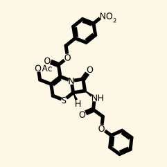 CC(=O)OCC1=C(C(=O)OCc2ccc([N+](=O)[O-])cc2)N2C(=O)[C@@H](NC(=O)COc3ccccc3)[C@@H]2SC1